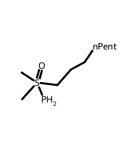 CCCCCCCCS(C)(C)(=O)P